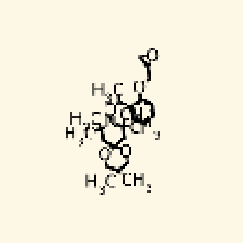 CC(ON1C(C)(C)CC2(CC1(C)C)OCC(C)(C)CO2)c1ccccc1OCC1CO1